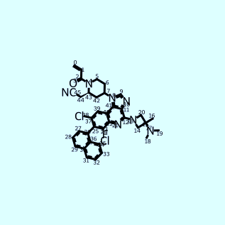 C=CC(=O)N1CCC(n2cnc3c(N4CC(C)(N(C)C)C4)nc4c(F)c(-c5cccc6cccc(Cl)c56)c(Cl)cc4c32)C[C@H]1CC#N